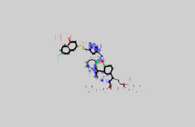 COC(=O)CCc1c(C(=O)OC)n(C)c2c(-c3c(C)nn4c3[C@H](N(C)Cc3cc(CSc5cc(O)c6ccc(F)cc6c5)n(C)n3)CCC4)c(Cl)ccc12